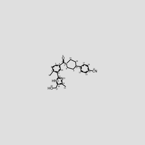 Cc1ccc(C(=O)N2CCC(c3ccc(C#N)cc3)CC2)cc1-c1nc(C)c(CO)[nH]1